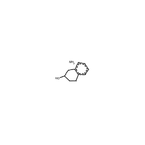 N.OC1CCc2ccccc2C1